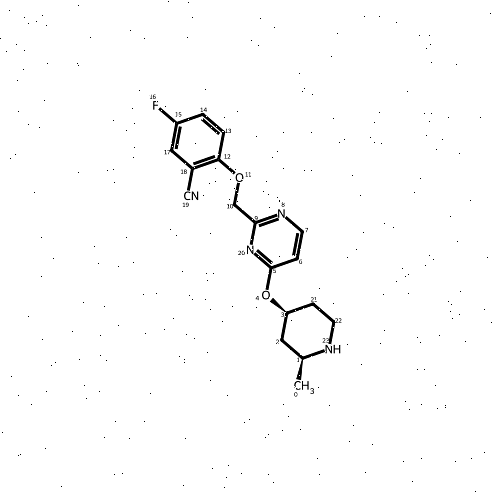 C[C@H]1C[C@@H](Oc2ccnc(COc3ccc(F)cc3C#N)n2)CCN1